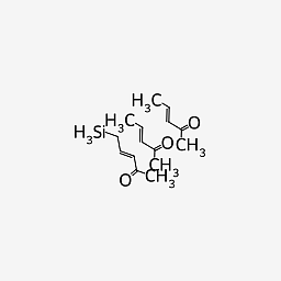 CC(=O)C=CC[SiH3].CC=CC(C)=O.CC=CC(C)=O